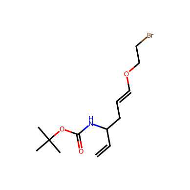 C=CC(C/C=C/OCCBr)NC(=O)OC(C)(C)C